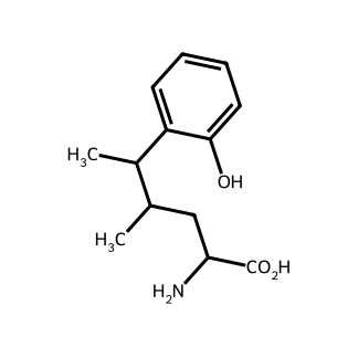 CC(CC(N)C(=O)O)C(C)c1ccccc1O